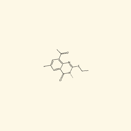 CCSc1nc2c(C(C)=O)cc(C)cc2c(=O)n1C